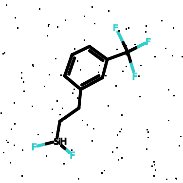 F[SiH](F)CCc1cccc(C(F)(F)F)c1